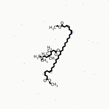 CCOC(=O)C/C=C\C/C=C\CCCCCCCCC(CCCCCCCC/C=C\C/C=C\CC(=O)OCC)OC(=O)CC(C)CC(C)(C)CCN(C)C